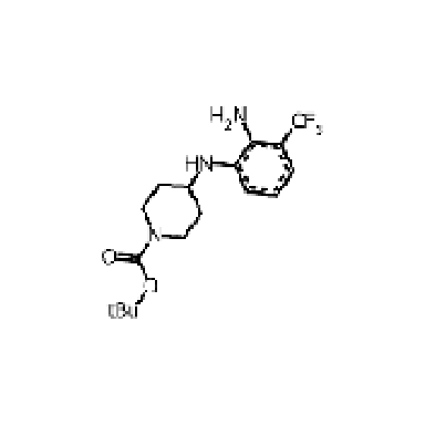 CC(C)(C)OC(=O)N1CCC(Nc2cccc(C(F)(F)F)c2N)CC1